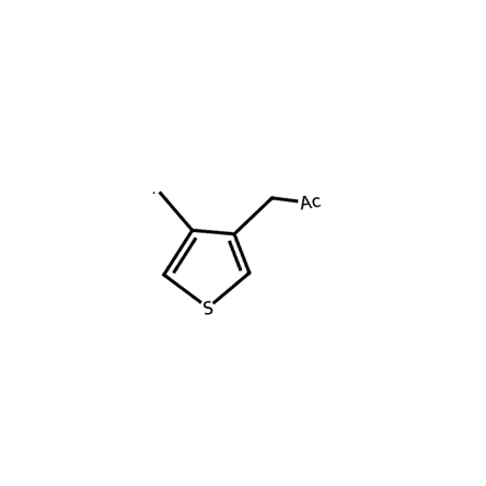 [CH2]c1cscc1CC(C)=O